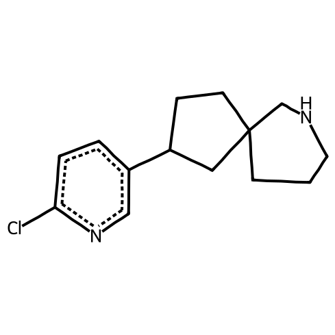 Clc1ccc(C2CCC3(CCCNC3)C2)cn1